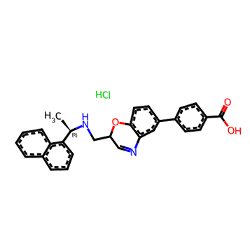 C[C@@H](NCC1C=Nc2cc(-c3ccc(C(=O)O)cc3)ccc2O1)c1cccc2ccccc12.Cl